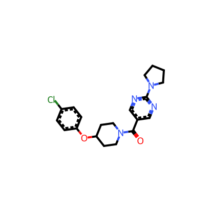 O=C(c1cnc(N2CCCC2)nc1)N1CCC(Oc2ccc(Cl)cc2)CC1